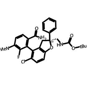 CNc1ccc(C(N)=O)c(-c2c(Cl)ccc3c2C[C@@](CNC(=O)OC(C)(C)C)(c2ccccc2)O3)c1F